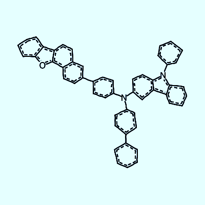 c1ccc(-c2ccc(N(c3ccc(-c4ccc5c(ccc6c7ccccc7oc56)c4)cc3)c3ccc4c(c3)c3ccccc3n4-c3ccccc3)cc2)cc1